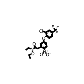 CCON(CC)C(=O)Cc1cc(Oc2ccc(C(F)(F)F)cc2Cl)ccc1[N+](=O)[O-]